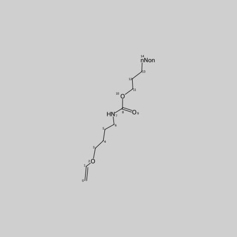 C=COCCCCNC(=O)OCCCCCCCCCCCC